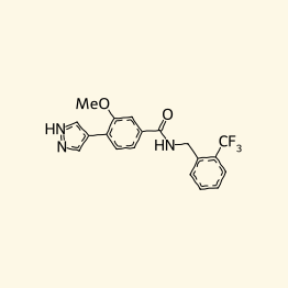 COc1cc(C(=O)NCc2ccccc2C(F)(F)F)ccc1-c1cn[nH]c1